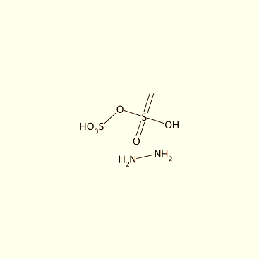 C=S(=O)(O)OS(=O)(=O)O.NN